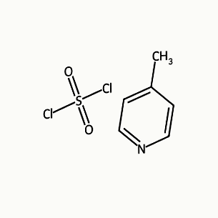 Cc1ccncc1.O=S(=O)(Cl)Cl